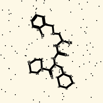 N#C[C@H](COCc1ccccc1Cl)NC(=O)O[C@@H](CC1CCCCC1)C(=O)N1CCOCC1